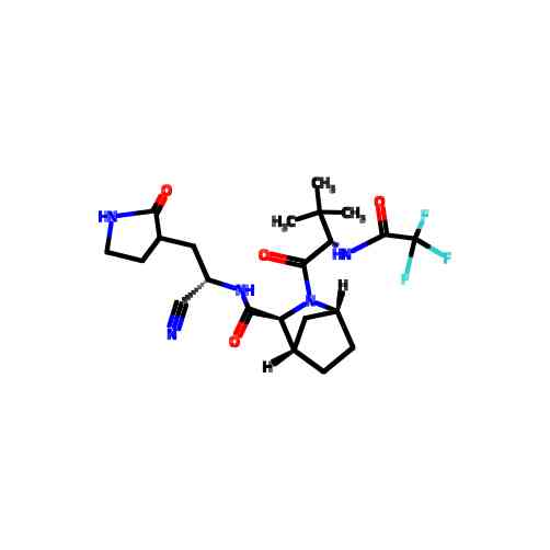 CC(C)(C)[C@H](NC(=O)C(F)(F)F)C(=O)N1[C@@H]2CC[C@@H](C2)[C@H]1C(=O)N[C@H](C#N)CC1CCNC1=O